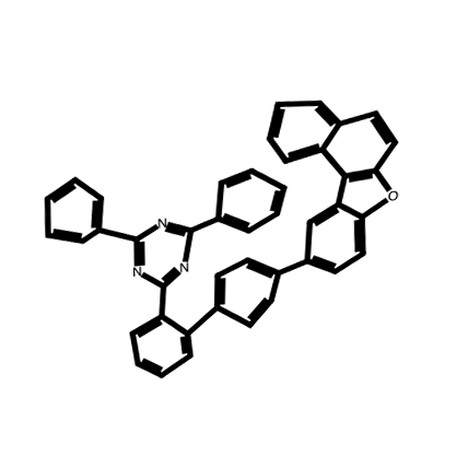 c1ccc(-c2nc(-c3ccccc3)nc(-c3ccccc3-c3ccc(-c4ccc5oc6ccc7ccccc7c6c5c4)cc3)n2)cc1